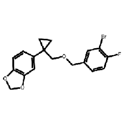 Fc1ccc(COCC2(c3ccc4c(c3)OCO4)CC2)cc1Br